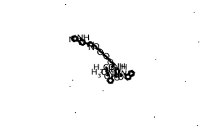 CN[C@@H](C)C(=O)N[C@H](C(=O)N1C[C@@H](NC(=O)COCCOCCOCCOc2ccc(-c3ccc4c(c3)[nH]c3ccncc34)cn2)C[C@H]1C(=O)NC1CCCc2ccccc21)C1CCCCC1